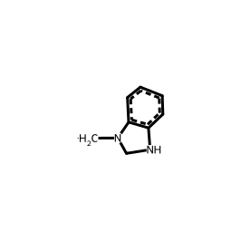 [CH2]N1CNc2ccccc21